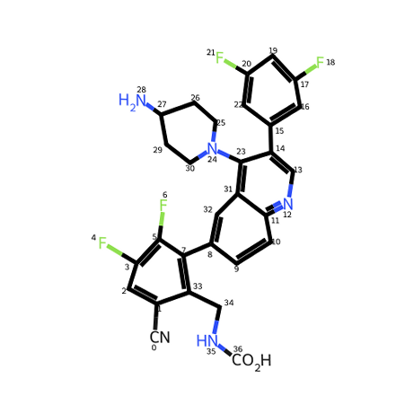 N#Cc1cc(F)c(F)c(-c2ccc3ncc(-c4cc(F)cc(F)c4)c(N4CCC(N)CC4)c3c2)c1CNC(=O)O